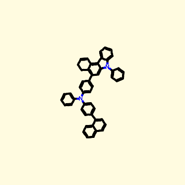 C1=Cc2c(c(-c3ccc(N(c4ccccc4)c4ccc(-c5cccc6ccccc56)cc4)cc3)cc3c2c2ccccc2n3-c2ccccc2)CC1